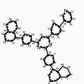 C1=Cc2cccc(-c3ccc(-c4nc(-c5ccc(-c6cccnc6)cc5)cc(-c5ccc(-c6cccc7ccccc67)cc5)n4)cc3)c2CC1